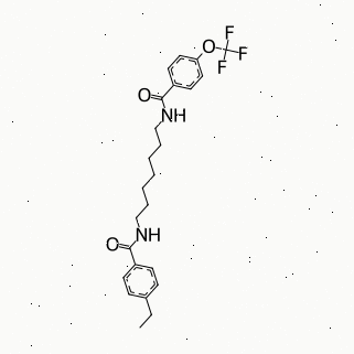 CCc1ccc(C(=O)NCCCCCCCNC(=O)c2ccc(OC(F)(F)F)cc2)cc1